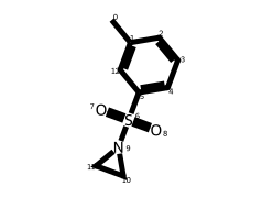 Cc1cccc(S(=O)(=O)N2CC2)c1